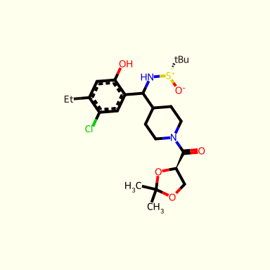 CCc1cc(O)c(C(N[S@@+]([O-])C(C)(C)C)C2CCN(C(=O)[C@H]3COC(C)(C)O3)CC2)cc1Cl